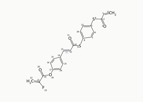 C=CC(=O)Sc1ccc(SC(=O)/C=C/c2ccc(OC(=O)C(=C)F)cc2)cc1